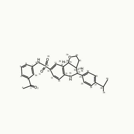 CC(=O)c1cccc(NS(=O)(=O)c2ccc3c(c2)[C@H]2OCC[C@H]2C(c2ccc(C(C)C)cc2)N3)c1